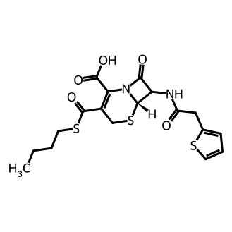 CCCCSC(=O)C1=C(C(=O)O)N2C(=O)C(NC(=O)Cc3cccs3)[C@@H]2SC1